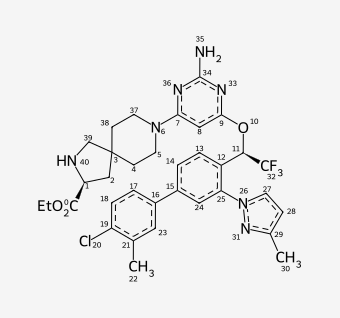 CCOC(=O)[C@@H]1CC2(CCN(c3cc(O[C@H](c4ccc(-c5ccc(Cl)c(C)c5)cc4-n4ccc(C)n4)C(F)(F)F)nc(N)n3)CC2)CN1